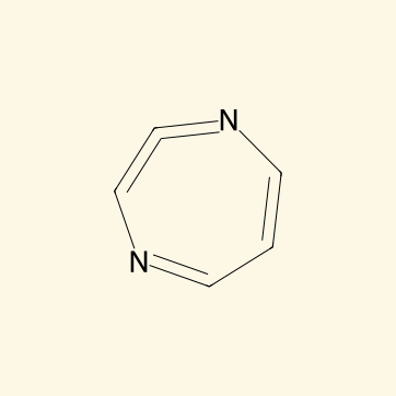 C1=CN=CC=CN=1